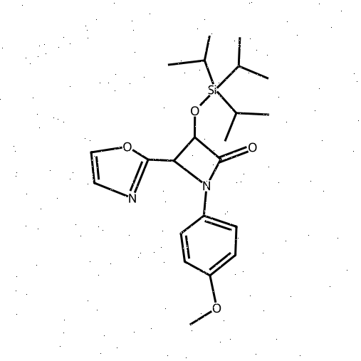 COc1ccc(N2C(=O)C(O[Si](C(C)C)(C(C)C)C(C)C)C2c2ncco2)cc1